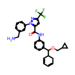 NCc1cccc(-n2nc(C(F)(F)F)cc2C(=O)Nc2cccc(C(OCC3CC3)C3C=CC=CC3)c2)c1